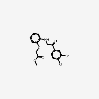 COC(=O)COc1ccccc1NCC(=O)c1ccc(Cl)c(Br)c1